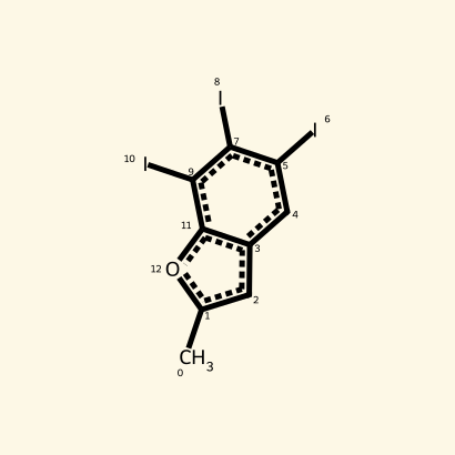 Cc1cc2cc(I)c(I)c(I)c2o1